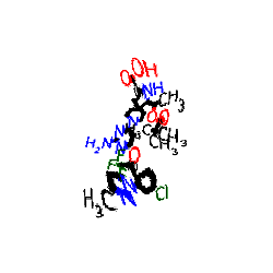 Cc1ccn(-c2cc(Cl)ccc2[C@@H](Oc2cc(N3CCC4(CC3)C[C@@H](C(=O)O)NC4C(C)OC(=O)C(C)(C)C)nc(N)n2)C(F)(F)F)n1